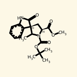 COC(=O)[C@@H]1C[C@@]2(C(=O)Nc3ccccc32)C(C)N1C(=O)OC(C)(C)C